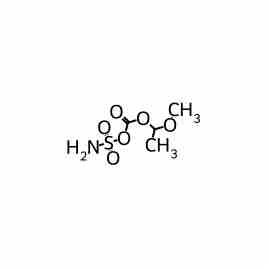 COC(C)OC(=O)OS(N)(=O)=O